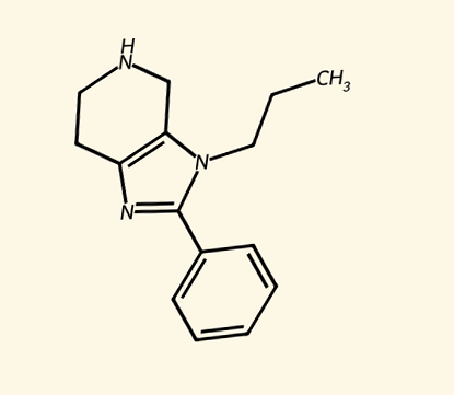 CCCn1c(-c2ccccc2)nc2c1CNCC2